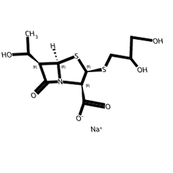 CC(O)[C@@H]1C(=O)N2[C@@H]1S[C@@H](SCC(O)CO)[C@H]2C(=O)[O-].[Na+]